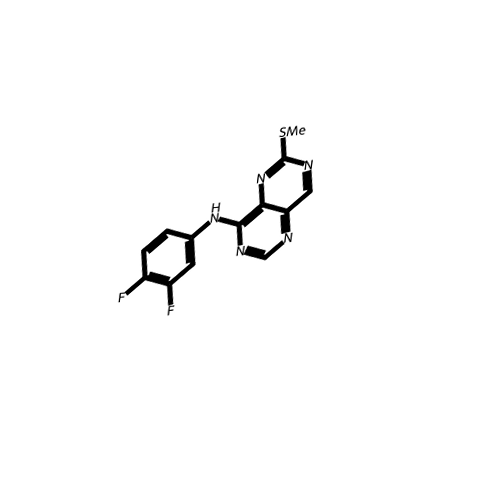 CSc1ncc2ncnc(Nc3ccc(F)c(F)c3)c2n1